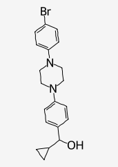 OC(c1ccc(N2CCN(c3ccc(Br)cc3)CC2)cc1)C1CC1